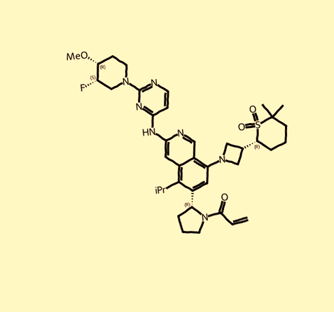 C=CC(=O)N1CCC[C@@H]1c1cc(N2CC([C@H]3CCCC(C)(C)S3(=O)=O)C2)c2cnc(Nc3ccnc(N4CC[C@@H](OC)[C@@H](F)C4)n3)cc2c1C(C)C